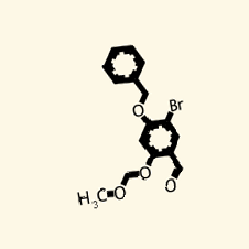 COCOc1cc(OCc2ccccc2)c(Br)cc1C=O